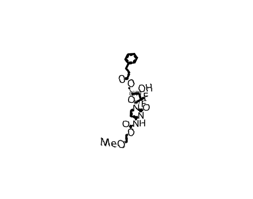 COCCOC(=O)Nc1ccn([C@@H]2O[C@H](COC(=O)CCc3ccccc3)[C@@H](O)C2(F)F)c(=O)n1